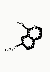 CNc1nccc2ccc(C(=O)O)cc12